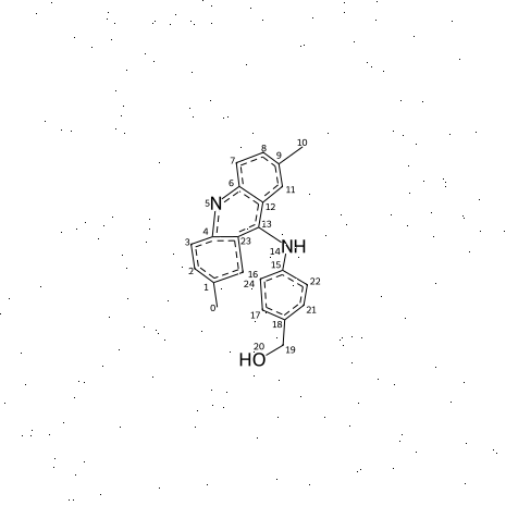 Cc1ccc2nc3ccc(C)cc3c(Nc3ccc(CO)cc3)c2c1